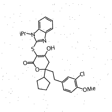 COc1ccc(CCC2(C3CCCC3)CC(O)=C(Sc3nc4ccccc4n3C(C)C)C(=O)O2)cc1Cl